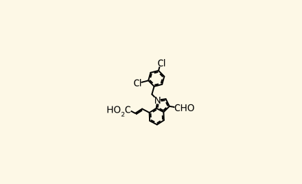 O=Cc1cn(Cc2ccc(Cl)cc2Cl)c2c(C=CC(=O)O)cccc12